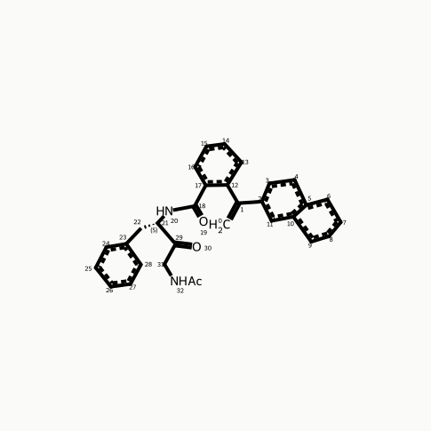 C=C(c1ccc2ccccc2c1)c1ccccc1C(=O)N[C@@H](Cc1ccccc1)C(=O)CNC(C)=O